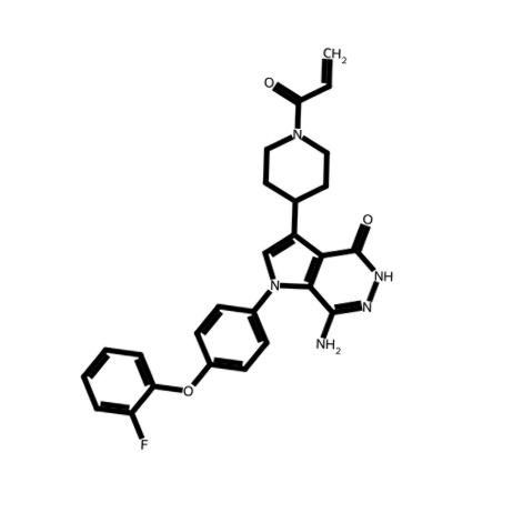 C=CC(=O)N1CCC(c2cn(-c3ccc(Oc4ccccc4F)cc3)c3c(N)n[nH]c(=O)c23)CC1